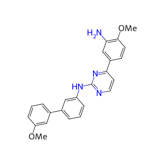 COc1cccc(-c2cccc(Nc3nccc(-c4ccc(OC)c(N)c4)n3)c2)c1